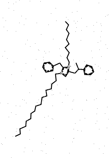 CCCCCCCCCCCCCCCCCn1cc(CC(C)c2ccccc2)[n+](CCCCCCCCCC)c1Cc1ccccc1